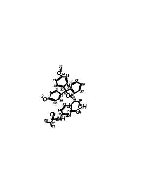 COc1ccc(C(OC[C@H](CO)n2ccc(NC(=O)C(C)C)nc2=O)(c2ccccc2)c2ccc(OC)cc2)cc1